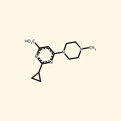 CN1CCN(c2cc(C(=O)O)nc(C3CC3)n2)CC1